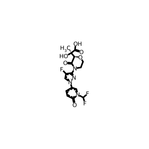 C[C@](O)(C(=O)O)[C@H]1OCCN(c2nn(-c3ccc(=O)n(C(F)F)c3)cc2F)C1=O